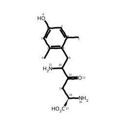 Cc1cc(O)cc(C)c1CC(N)C(=O)C[C@@H](N)C(=O)O